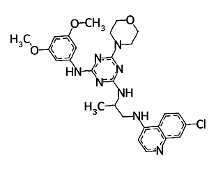 COc1cc(Nc2nc(NC(C)CNc3ccnc4cc(Cl)ccc34)nc(N3CCOCC3)n2)cc(OC)c1